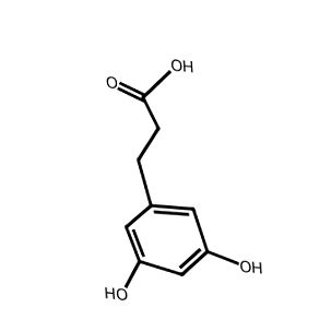 O=C(O)CCc1cc(O)cc(O)c1